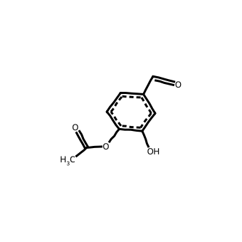 CC(=O)Oc1ccc(C=O)cc1O